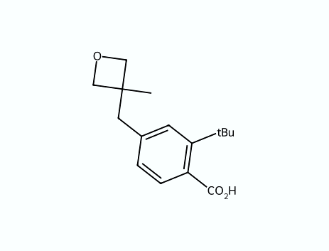 CC1(Cc2ccc(C(=O)O)c(C(C)(C)C)c2)COC1